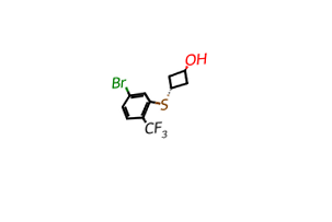 O[C@H]1C[C@H](Sc2cc(Br)ccc2C(F)(F)F)C1